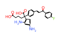 Nc1ccc(C(CCCC(=O)O)(C(=O)O)c2ccc(C=CC(=O)c3ccc(F)cc3)cc2)c(N)c1